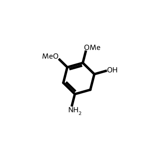 COC1=C(OC)C(O)CC(N)=C1